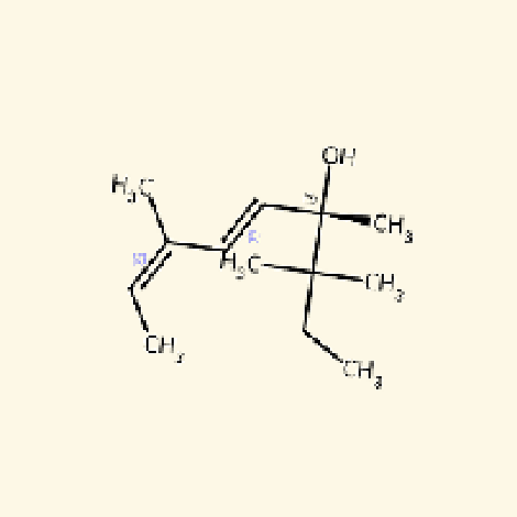 C/C=C(C)\C=C\[C@](C)(O)C(C)(C)CC